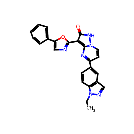 CCn1ncc2cc(-c3ccn4[nH]c(=O)c(-c5ncc(-c6ccccc6)o5)c4n3)ccc21